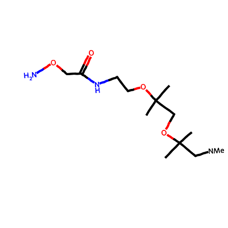 CNCC(C)(C)OCC(C)(C)OCCNC(=O)CON